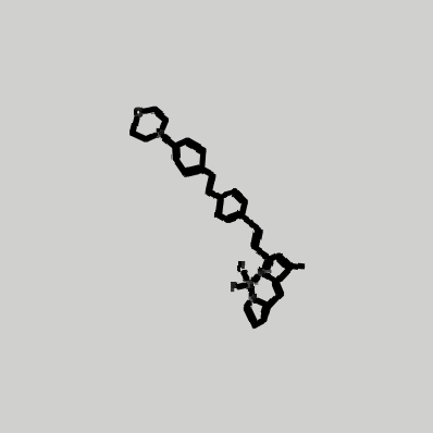 CC1=CC(/C=C/c2ccc(/C=C/c3ccc(N4CCOCC4)cc3)cc2)=[N+]2C1=Cc1cccn1[B-]2(F)F